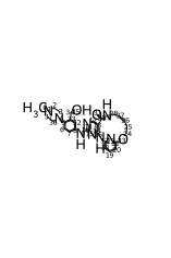 CN1CCN(c2ccc(Nc3ncc4c(n3)Nc3cccc(n3)OCC/C=C\CNC4=O)cc2CO)CC1